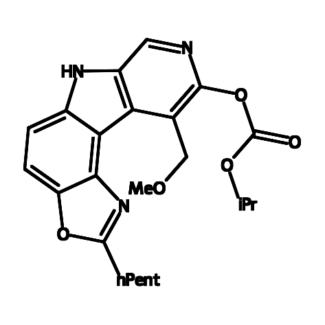 CCCCCc1nc2c(ccc3[nH]c4cnc(OC(=O)OC(C)C)c(COC)c4c32)o1